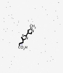 Cn1cc(-c2nc(/C=C/C(=O)O)cs2)cn1